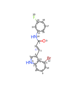 O=C(/C=C/c1c[nH]c2cccc(Br)c12)Nc1cccc(F)c1